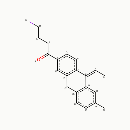 CC=C1c2ccc(C(=O)CCCI)cc2Cc2ccc(C)cc21